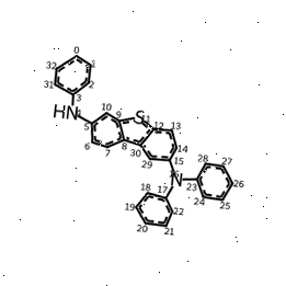 c1ccc(Nc2ccc3c(c2)sc2ccc(N(c4ccccc4)c4ccccc4)cc23)cc1